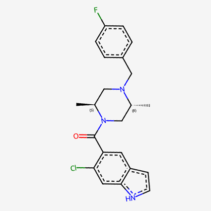 C[C@@H]1CN(C(=O)c2cc3cc[nH]c3cc2Cl)[C@@H](C)CN1Cc1ccc(F)cc1